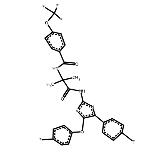 CC(C)(NC(=O)c1ccc(OC(F)(F)F)cc1)C(=O)Nc1nc(-c2ccc(F)cc2)c(Oc2ccc(F)cc2)s1